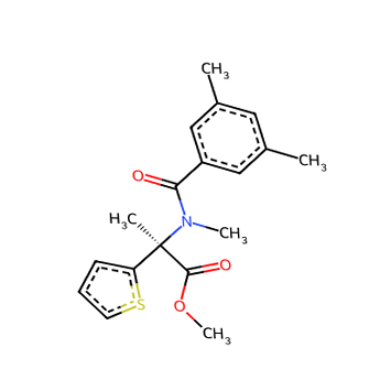 COC(=O)[C@@](C)(c1cccs1)N(C)C(=O)c1cc(C)cc(C)c1